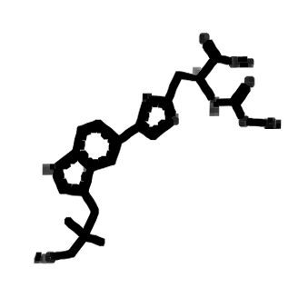 COC(=O)[C@H](Cc1nc(-c2ccc3[nH]cc(CC(C)(C)COC(C)=O)c3c2)cs1)NC(=O)OC(C)(C)C